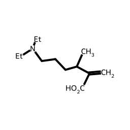 C=C(C(=O)O)C(C)CCCN(CC)CC